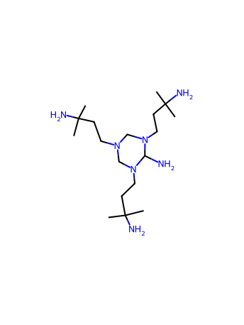 CC(C)(N)CCN1CN(CCC(C)(C)N)C(N)N(CCC(C)(C)N)C1